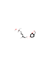 CCOC(C)(C)CC=CC(C)=CCOc1ccc2c(c1)OCC2